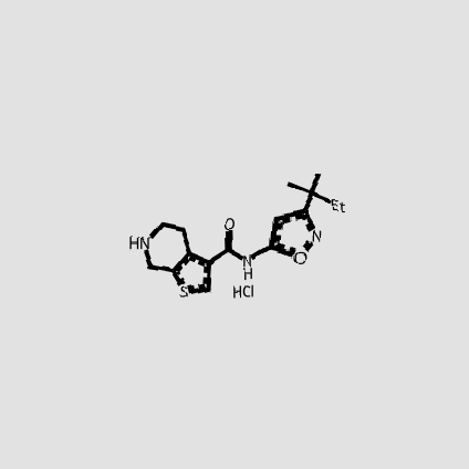 CCC(C)(C)c1cc(NC(=O)c2csc3c2CCNC3)on1.Cl